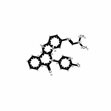 CN(C)C=Nc1ccc2nc3c4ccccc4c(=O)n(-c4ccc(Cl)nc4)c3n2c1